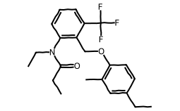 CCC(=O)N(CC)c1cccc(C(F)(F)F)c1COc1ccc(CC)cc1C